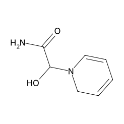 NC(=O)C(O)N1C=CC=CC1